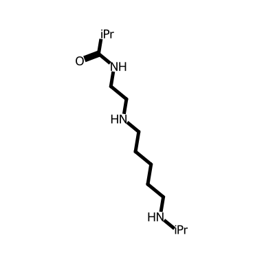 CC(C)NCCCCCNCCNC(=O)C(C)C